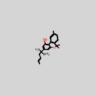 BC(B)(CCCC)c1cc(O)c2c(c1)OC(C)(C)C1CCC(C)=CC21